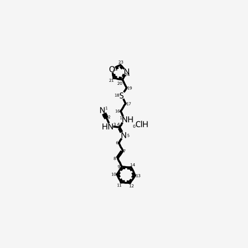 Cl.N#CNC(=NCC=Cc1ccccc1)NCCSCc1cocn1